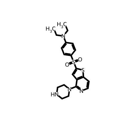 CCN(CC)c1ccc(S(=O)(=O)c2cc3c(N4CCNCC4)nccc3s2)cc1